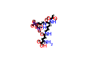 CC(=O)C(=O)N[C@@H](CCCCNC(=O)CC[C@H](N)C(=O)O)C(=O)NC[C@H](CO[N+](=O)[O-])O[N+](=O)[O-]